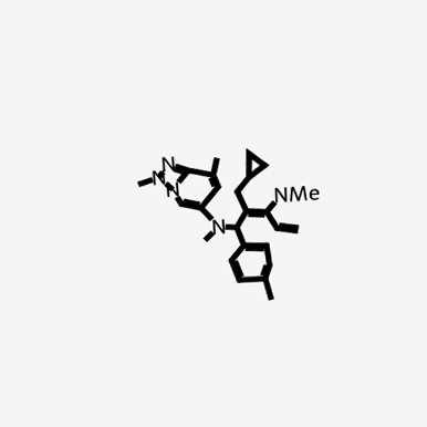 C=C/C(NC)=C(/CC1CC1)C(c1ccc(C)cc1)N(C)c1cc(C)c2nn(C)n2c1